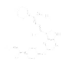 C=CC(=O)N1CCC(Oc2cnc3[nH]cc(/C(C)=C/N=C(\N=C)N4CCOCC4)c3n2)CC1